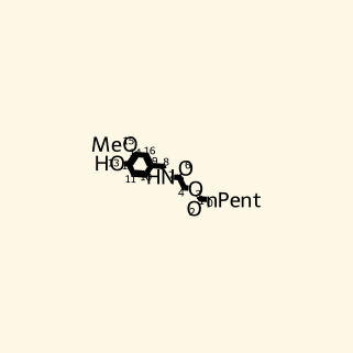 CCCCCC(=O)OCC(=O)NCc1ccc(O)c(OC)c1